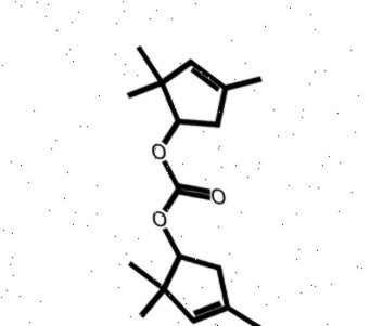 CC1=CC(C)(C)C(OC(=O)OC2CC(C)=CC2(C)C)C1